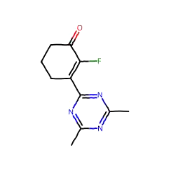 Cc1nc(C)nc(C2=C(F)C(=O)CCC2)n1